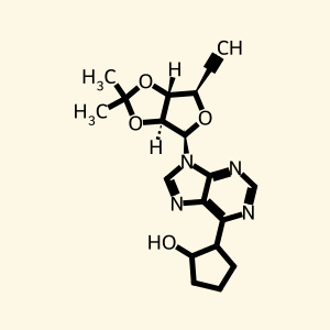 C#C[C@H]1O[C@@H](n2cnc3c(C4CCCC4O)ncnc32)[C@H]2OC(C)(C)O[C@@H]21